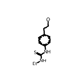 CCNC(=S)Nc1ccc(CC[O])cc1